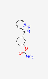 NC(=O)O[C@@H]1CCC[C@H](c2nnn3ccccc23)C1